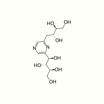 OC[C@H](O)[C@H](O)[C@H](O)c1cncc(C[C@@H](O)[C@@H](O)CO)n1